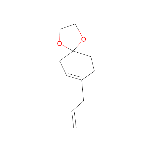 C=CCC1=CCC2(CC1)OCCO2